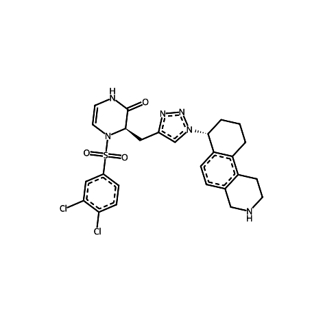 O=C1NC=CN(S(=O)(=O)c2ccc(Cl)c(Cl)c2)[C@@H]1Cc1cn([C@@H]2CCCc3c2ccc2c3CCNC2)nn1